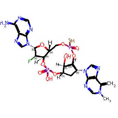 C=C1c2ncn([C@@H]3C[C@@H]4OP(=O)(O)O[C@H]5[C@@H](F)[C@H](n6cnc7c(N)ncnc76)O[C@@H]5COP(=O)(S)O[C@@H]3[C@@H]4O)c2N=CN1C